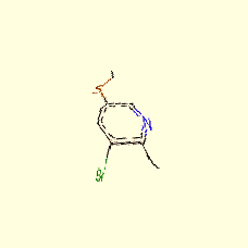 CSc1cnc(C)c(Br)c1